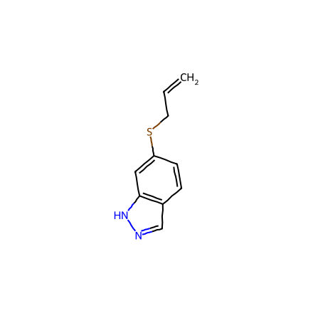 C=CCSc1ccc2cn[nH]c2c1